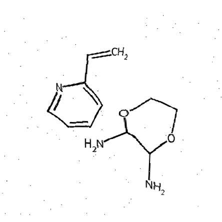 C=Cc1ccccn1.NC1OCCOC1N